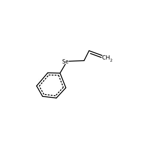 C=CC[Se]c1ccccc1